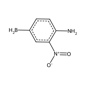 Bc1ccc(N)c([N+](=O)[O-])c1